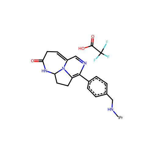 CC(C)NCc1ccc(C2=C3CCC4NC(=O)CC=C(C=N2)N34)cc1.O=C(O)C(F)(F)F